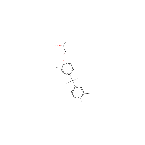 CCC(CC)(c1ccc(C=O)c(C)c1)c1ccc(OCC(O)C(C)(C)C)c(C)c1